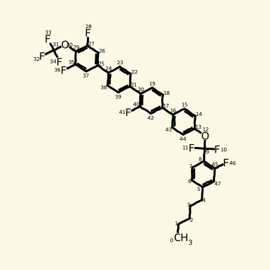 CCCCCc1ccc(C(F)(F)Oc2ccc(-c3ccc(-c4ccc(-c5cc(F)c(OC(F)(F)F)c(F)c5)cc4)c(F)c3)cc2)c(F)c1